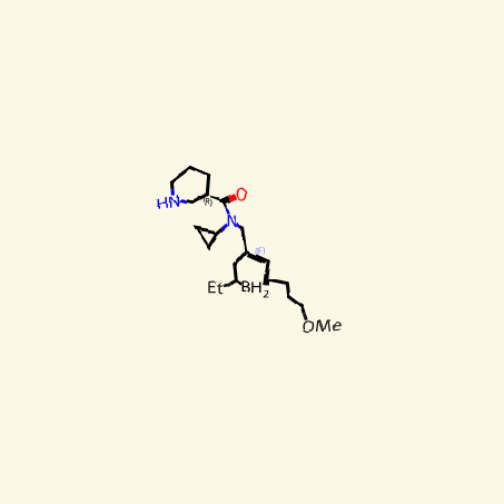 BC(CC)C/C(=C\C(=C)CCCOC)CN(C(=O)[C@@H]1CCCNC1)C1CC1